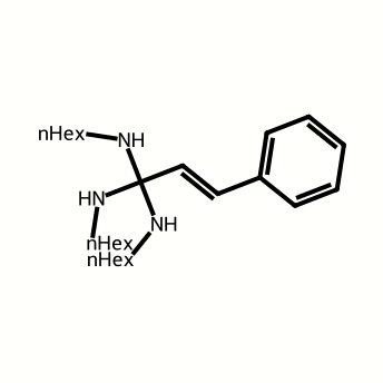 CCCCCCNC(C=Cc1ccccc1)(NCCCCCC)NCCCCCC